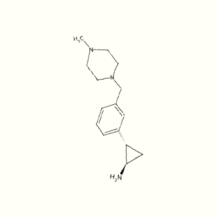 CN1CCN(Cc2cccc([C@@H]3C[C@H]3N)c2)CC1